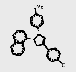 COc1ccc([C@@H]2C=C(c3ccc(Cl)cc3)C[C@H]2c2cccc3ccccc23)cc1